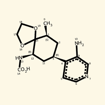 C[C@H]1C[C@@H](c2ccncc2N)C[C@@H](NC(=O)O)C12OCCO2